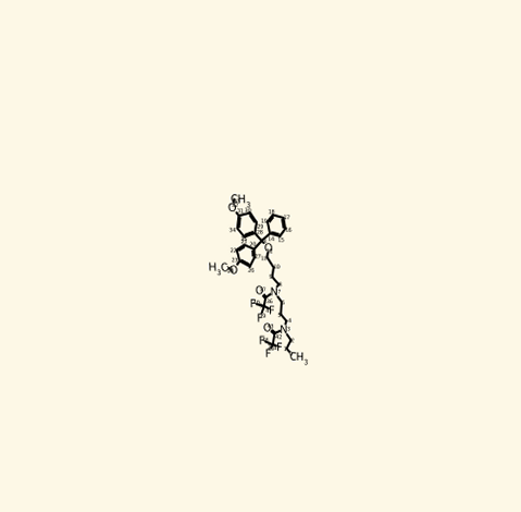 CCCN(CCCN(CCCCOC(c1ccccc1)(c1ccc(OC)cc1)c1ccc(OC)cc1)C(=O)C(F)(F)F)C(=O)C(F)(F)F